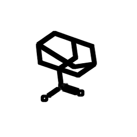 O=[N+]([O-])C12CC3CC(CC(C3)C1)C2